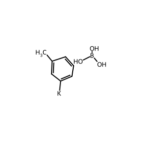 Cc1ccc[c]([K])c1.OB(O)O